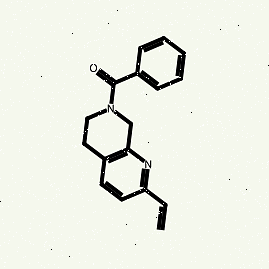 C=Cc1ccc2c(n1)CN(C(=O)c1ccccc1)CC2